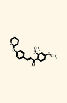 COc1ccc(C(=O)/C=C/c2ccc(OC3CCCCO3)cc2)c(OC)c1